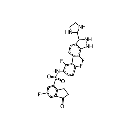 O=C1CCc2c1cc(F)cc2S(=O)(=O)Nc1ccc(F)c(-c2ccc3c(c2F)NNC3C2NCCN2)c1F